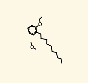 CCCCCCCCCCc1ccccc1OCC.COC